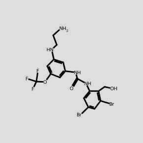 NCCNc1cc(NC(=O)Nc2cc(Br)cc(Br)c2CO)cc(OC(F)(F)F)c1